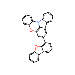 c1ccc2c(c1)Oc1cc(-c3cccc4c3oc3ccccc34)cc3c4ccccc4n-2c13